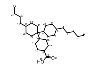 CCCCCC1CCC(C2(C3CCC(C(=O)O)CC3)CCC(CCCC)CC2)CC1